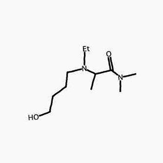 CCN(CCCCO)C(C)C(=O)N(C)C